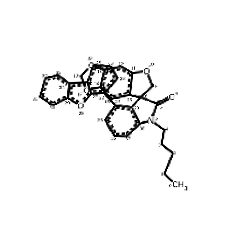 CCCCCN1C(=O)C2(COc3cc4c(cc32)OCO4)c2c(-c3cccc4c3oc3ccccc34)cccc21